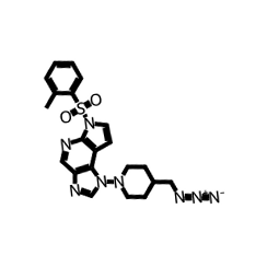 Cc1ccccc1S(=O)(=O)n1ccc2c3c(cnc21)ncn3N1CCC(CN=[N+]=[N-])CC1